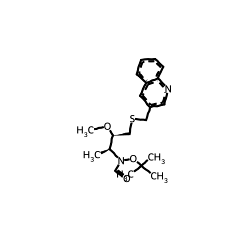 CO[C@@H](CSCc1cnc2ccccc2c1)[C@H](C)N(C=O)OC(C)(C)C